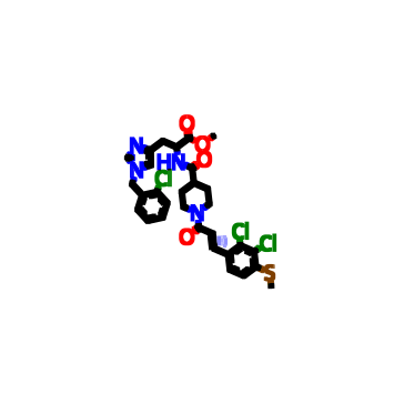 COC(=O)C(Cc1cn(Cc2ccccc2Cl)cn1)NC(=O)C1CCN(C(=O)/C=C/c2ccc(SC)c(Cl)c2Cl)CC1